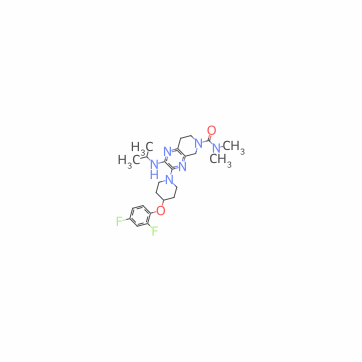 CC(C)Nc1nc2c(nc1N1CCC(Oc3ccc(F)cc3F)CC1)CN(C(=O)N(C)C)CC2